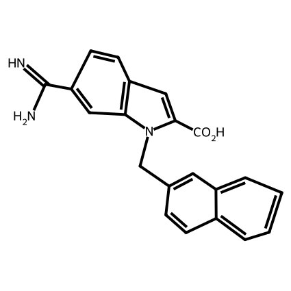 N=C(N)c1ccc2cc(C(=O)O)n(Cc3ccc4ccccc4c3)c2c1